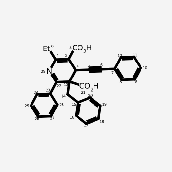 CCC1=C(C(=O)O)C(C#Cc2ccccc2)C(Cc2ccccc2)(C(=O)O)C(c2ccccc2)=N1